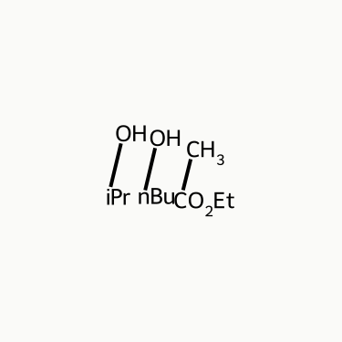 CC(C)O.CCCCO.CCOC(C)=O